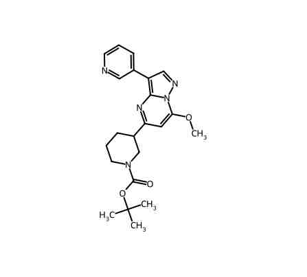 COc1cc(C2CCCN(C(=O)OC(C)(C)C)C2)nc2c(-c3cccnc3)cnn12